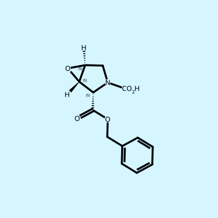 O=C(OCc1ccccc1)[C@@H]1[C@@H]2O[C@H]2CN1C(=O)O